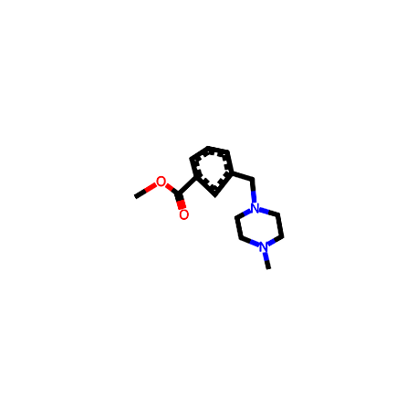 COC(=O)c1cccc(CN2CCN(C)CC2)c1